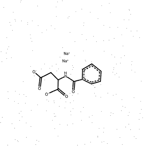 O=C([O-])CC(NC(=O)c1ccccc1)C(=O)[O-].[Na+].[Na+]